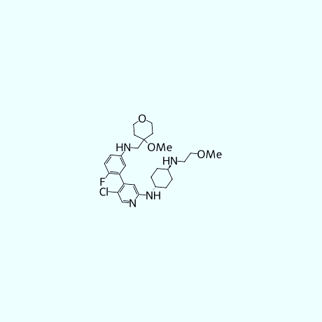 COCCN[C@H]1CC[C@H](Nc2cc(-c3cc(NCC4(OC)CCOCC4)ccc3F)c(Cl)cn2)CC1